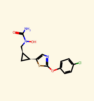 NC(=O)N(O)C[C@@H]1C[C@H]1c1cnc(Oc2ccc(Cl)cc2)s1